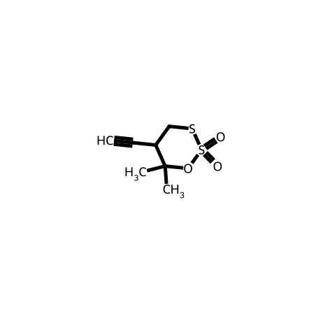 C#CC1CSS(=O)(=O)OC1(C)C